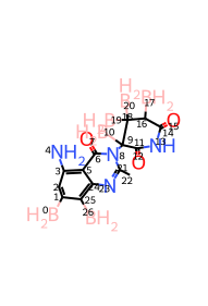 Bc1cc(N)c2c(=O)n(C3(B)C(=O)NC(=O)C(B)C3(B)B)c(C)nc2c1B